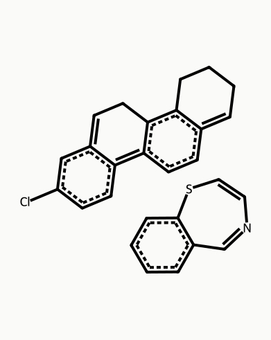 C1=CSc2ccccc2C=N1.Clc1ccc2c(c1)=CCc1c3c(ccc1=2)=CCCC3